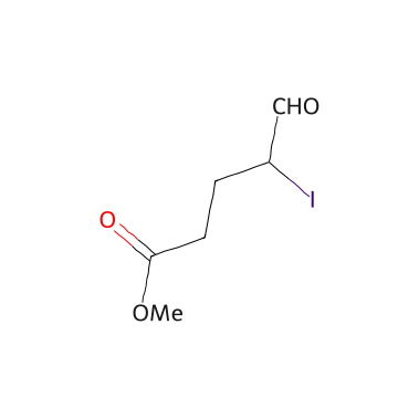 COC(=O)CCC(I)C=O